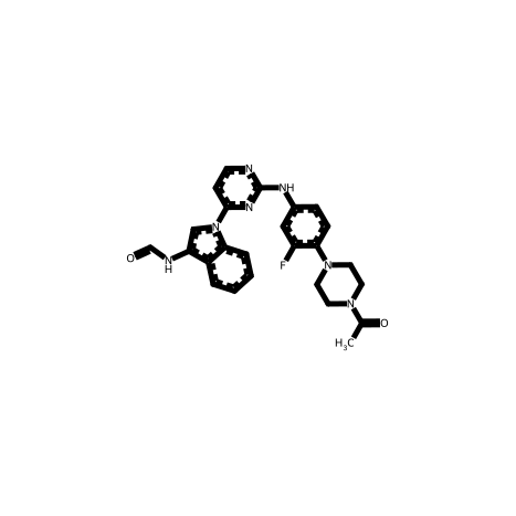 CC(=O)N1CCN(c2ccc(Nc3nccc(-n4cc(NC=O)c5ccccc54)n3)cc2F)CC1